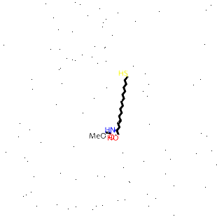 COCC(=O)NC(CO)C/C=C/CCCCCCCCCCCCS